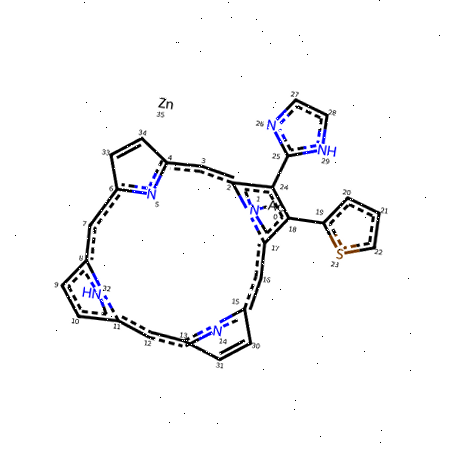 CC(=O)n1c2cc3nc(cc4ccc(cc5nc(cc1c(-c1cccs1)c2-c1ncc[nH]1)C=C5)[nH]4)C=C3.[Zn]